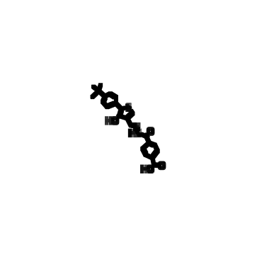 CC(C)(C)c1ccc(-c2scc(/C=N/NC(=O)c3ccc(C(=O)O)cc3)c2O)cc1